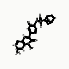 CC(C)n1c(=O)c(-c2ccc(NS(=O)(=O)C3CC4CCC3C4)c(F)c2)nc2cnc(N)nc21